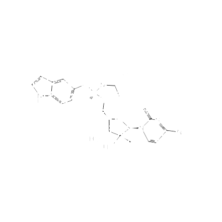 CCOC(=O)[C@H](C)NP(=O)(OC[C@H]1O[C@@H](n2ccc(N)nc2=O)[C@](C)(O)[C@@H]1O)Oc1ccc2[nH]ccc2c1